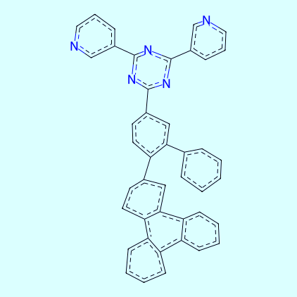 c1ccc(-c2cc(-c3nc(-c4cccnc4)nc(-c4cccnc4)n3)ccc2-c2ccc3c4ccccc4c4ccccc4c3c2)cc1